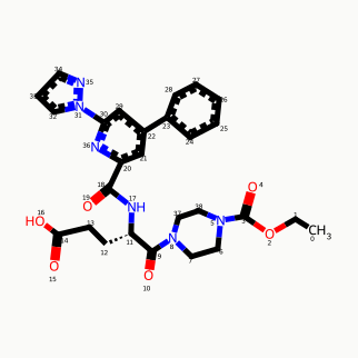 CCOC(=O)N1CCN(C(=O)[C@H](CCC(=O)O)NC(=O)c2cc(-c3ccccc3)cc(-n3cccn3)n2)CC1